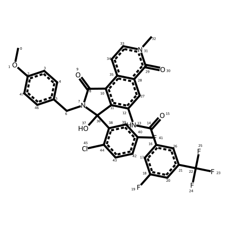 COc1ccc(CN2C(=O)c3c(c(NC(=O)c4cc(F)cc(C(F)(F)F)c4)cc4c(=O)n(C)ccc34)C2(O)c2cc(F)ccc2Cl)cc1